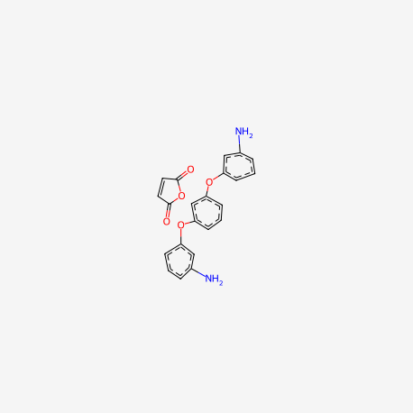 Nc1cccc(Oc2cccc(Oc3cccc(N)c3)c2)c1.O=C1C=CC(=O)O1